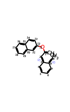 C=C(/C=c1/cccc/c1=C/C)Oc1ccc2ccccc2c1